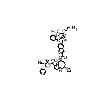 CCCOC(=O)[C@H](C)NP(=O)(Oc1ccccc1)[C@@H](F)c1ccc2sc(C(=O)N[C@H]3CC[C@H](N4CCC4)C[C@H]4CC[C@@H](C(=O)N5C[C@H](c6ccccc6)[C@@H](C#N)C56CC6)N4C3=O)cc2c1